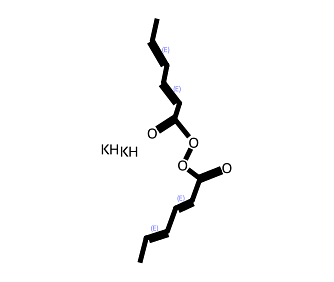 C/C=C/C=C/C(=O)OOC(=O)/C=C/C=C/C.[KH].[KH]